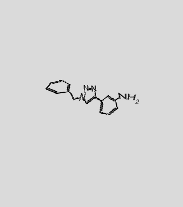 Nc1cccc(-c2cn(Cc3ccccc3)nn2)c1